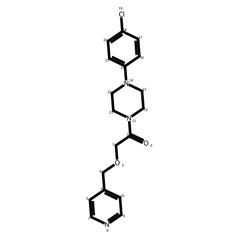 O=C(COCc1ccncc1)N1CCN(c2ccc(Cl)cc2)CC1